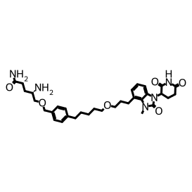 Cn1c(=O)n(C2CCC(=O)NC2=O)c2cccc(CCCOCCCCCc3ccc(COC[C@@H](N)CCC(N)=O)cc3)c21